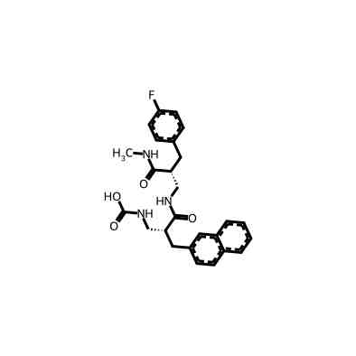 CNC(=O)[C@@H](CNC(=O)[C@@H](CNC(=O)O)Cc1ccc2ccccc2c1)Cc1ccc(F)cc1